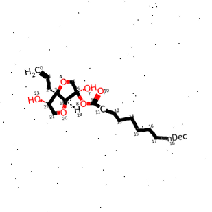 C=CC[C@]12OC[C@@](O)(OC(=O)CCCCCCCCCCCCCCCCC)[C@H]1OC[C@@H]2O